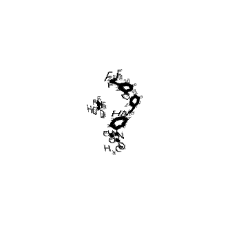 COc1nn(-c2ccc(NCc3cccc(Oc4cccc(C(F)(F)F)c4)c3)cc2)c(=O)o1.O=C(O)C(F)(F)F